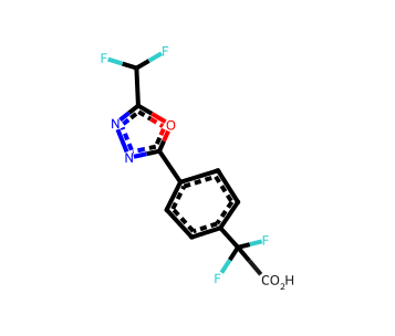 O=C(O)C(F)(F)c1ccc(-c2nnc(C(F)F)o2)cc1